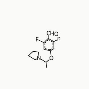 CC(Oc1cc(F)c(C=O)c(F)c1)N1CCCC1